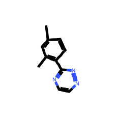 Cc1ccc(-c2nccnn2)c(C)c1